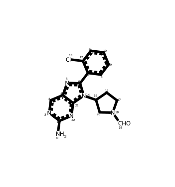 Nc1ncc2nc(-c3ccccc3Cl)n(C3CCN(C=O)C3)c2n1